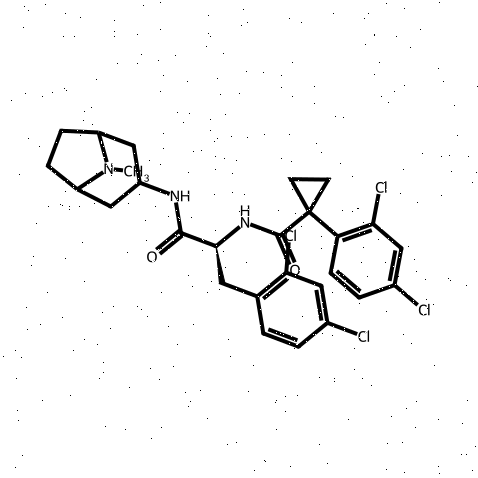 CN1C2CCC1CC(NC(=O)[C@H](Cc1ccc(Cl)cc1Cl)NC(=O)C1(c3ccc(Cl)cc3Cl)CC1)C2